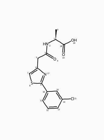 C[C@H](NC(=O)Cc1csc(-c2cccc(Cl)c2)n1)C(=O)O